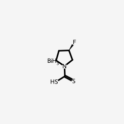 F[C@@H]1CCN(C(=S)S)C1.[BiH3]